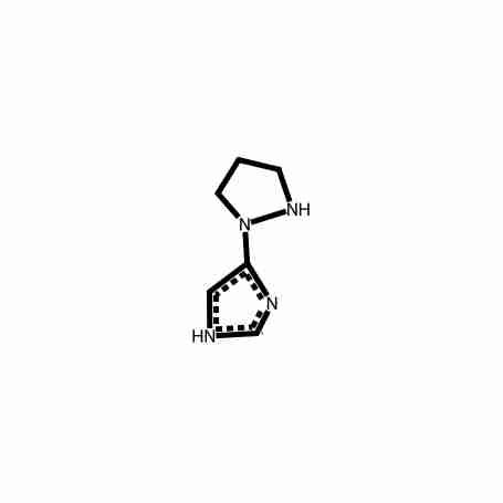 [c]1nc(N2CCCN2)c[nH]1